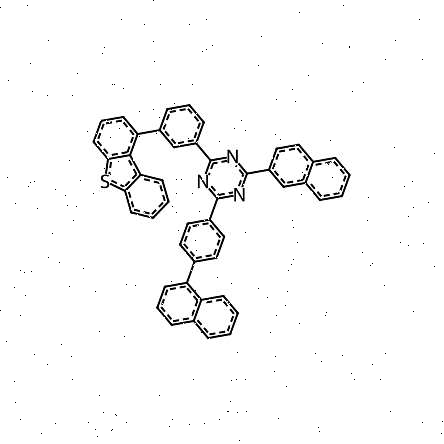 c1cc(-c2nc(-c3ccc(-c4cccc5ccccc45)cc3)nc(-c3ccc4ccccc4c3)n2)cc(-c2cccc3sc4ccccc4c23)c1